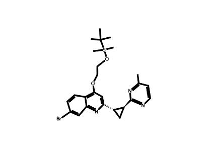 Cc1ccnc([C@H]2C[C@@H]2c2cc(OCCO[Si](C)(C)C(C)(C)C)c3ccc(Br)cc3n2)n1